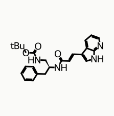 CC(C)(C)OC(=O)NC[C@H](Cc1ccccc1)NC(=O)C=Cc1c[nH]c2ncccc12